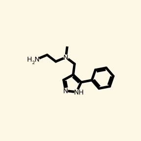 CN(CCN)Cc1cn[nH]c1-c1ccccc1